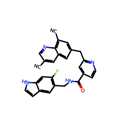 N#Cc1cnc2c(C#N)cc(Cc3cc(C(=O)NCc4cc5cc[nH]c5cc4F)ccn3)cc2c1